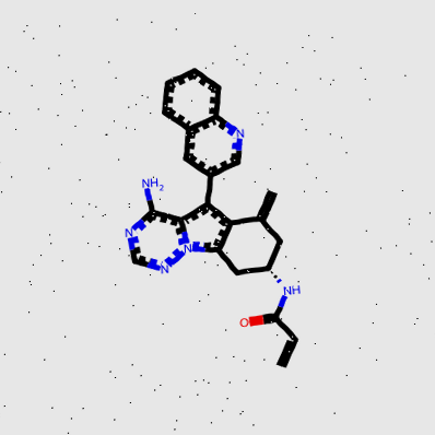 C=CC(=O)N[C@H]1CC(=C)c2c(-c3cnc4ccccc4c3)c3c(N)ncnn3c2C1